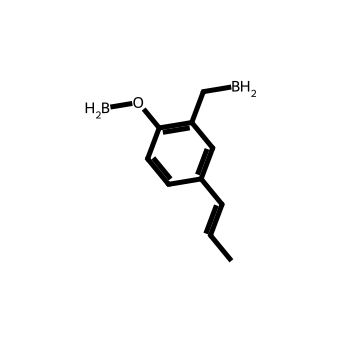 BCc1cc(/C=C/C)ccc1OB